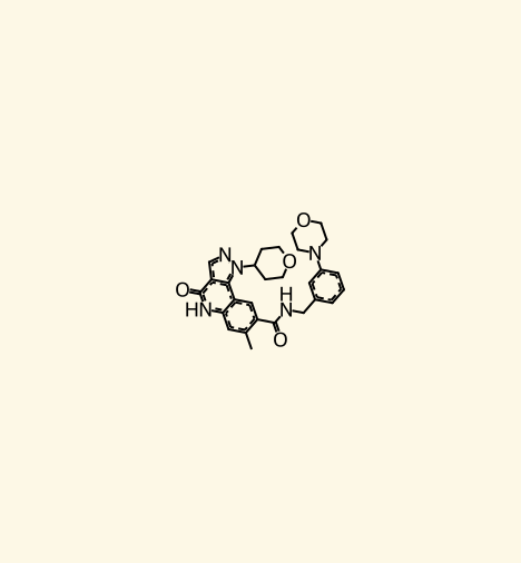 Cc1cc2[nH]c(=O)c3cnn(C4CCOCC4)c3c2cc1C(=O)NCc1cccc(N2CCOCC2)c1